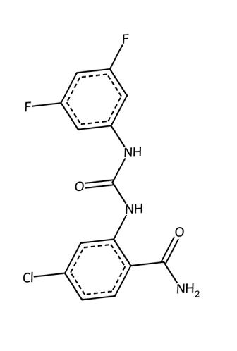 NC(=O)c1ccc(Cl)cc1NC(=O)Nc1cc(F)cc(F)c1